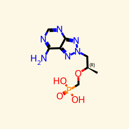 C[C@H](Cn1nc2ncnc(N)c2n1)OCP(=O)(O)O